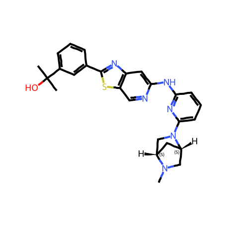 CN1C[C@@H]2C[C@H]1CN2c1cccc(Nc2cc3nc(-c4cccc(C(C)(C)O)c4)sc3cn2)n1